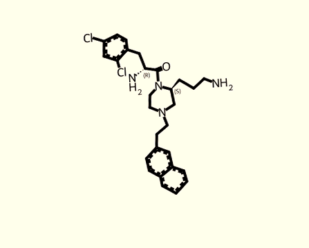 NCCC[C@H]1CN(CCc2ccc3ccccc3c2)CCN1C(=O)[C@H](N)Cc1ccc(Cl)cc1Cl